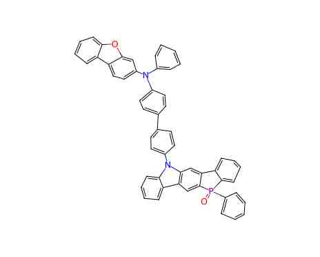 O=P1(c2ccccc2)c2ccccc2-c2cc3c(cc21)c1ccccc1n3-c1ccc(-c2ccc(N(c3ccccc3)c3ccc4c(c3)oc3ccccc34)cc2)cc1